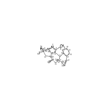 Cc1nn(C)c2c1C(c1ccccc1C#N)[NH+]([O-])CC(=O)N2CC(F)(F)F